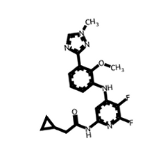 COc1c(Nc2cc(NC(=O)CC3CC3)nc(F)c2F)cccc1-c1ncn(C)n1